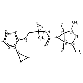 C[C@@H]1N[C@@H](C)[C@H]2C(C(=O)NC(C)(C)COc3cnccc3C3CC3)[C@H]21